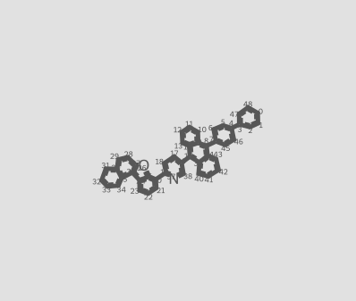 c1ccc(-c2ccc(-c3c4ccccc4c(-c4ccc(-c5cccc6c5oc5ccc7ccccc7c56)nc4)c4ccccc34)cc2)cc1